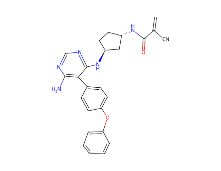 C=C(C#N)C(=O)N[C@H]1CC[C@H](Nc2ncnc(N)c2-c2ccc(Oc3ccccc3)cc2)C1